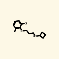 Cc1cccc(Cl)c1NCCCNC1CCC1